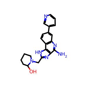 Nc1nc2cc(-c3cccnc3)ccc2c2[nH]c(CN3CCCCC3O)nc12